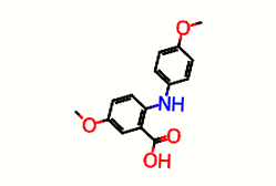 COc1ccc(Nc2ccc(OC)cc2C(=O)O)cc1